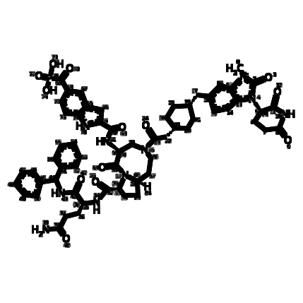 Cn1c(=O)n([C@@H]2CCC(=O)NC2=O)c2ccc(C[C@H]3CC[C@@H](CC(=O)N4CC[C@H]5CC[C@@H](C(=O)N[C@@H](CCC(N)=O)C(=O)NC(c6ccccc6)c6ccccc6)N5C(=O)[C@@H](NC(=O)c5cc6cc(C(=O)P(=O)(O)O)ccc6[nH]5)C4)CC3)cc21